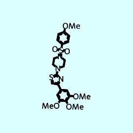 COc1ccc(S(=O)(=O)N2CCN(c3nc(-c4cc(OC)c(OC)c(OC)c4)cs3)CC2)cc1